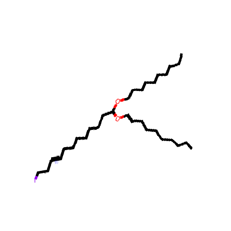 CCCCCCCCCCOC(CCCCCCC/C=C/CCI)OCCCCCCCCCC